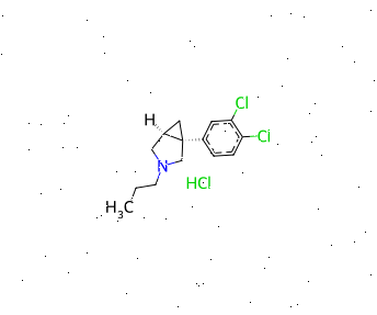 CCCN1C[C@H]2C[C@@]2(c2ccc(Cl)c(Cl)c2)C1.Cl